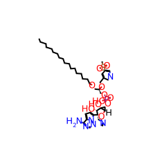 C=NC[C@@]1(c2ccc3c(N)ncnn23)O[C@@H]2C(OP(=O)(O)OC[C@@H](COCCCCCCCCCCCCCCCCCC)OCc3cncc(S(C)(=O)=O)c3)[C@]2(O)[C@H]1O